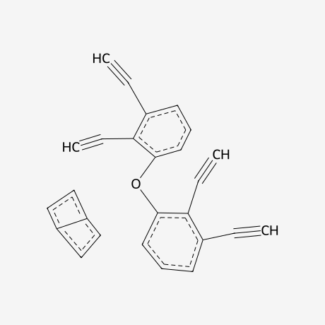 C#Cc1cccc(Oc2cccc(C#C)c2C#C)c1C#C.c1cc2ccc1-2